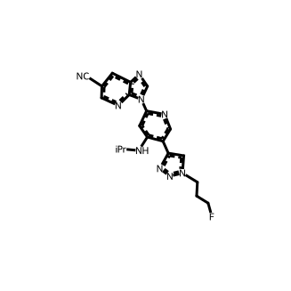 CC(C)Nc1cc(-n2cnc3cc(C#N)cnc32)ncc1-c1cn(CCCF)nn1